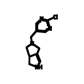 Clc1ncc(CN2CC3=CNCC3C2)cn1